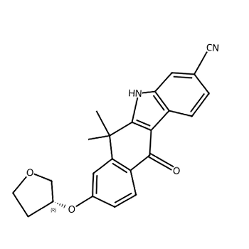 CC1(C)c2cc(O[C@@H]3CCOC3)ccc2C(=O)c2c1[nH]c1cc(C#N)ccc21